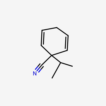 CC(C)C1(C#N)C=CCC=C1